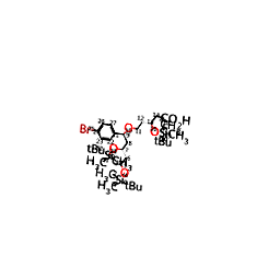 CC(C)(C)[Si](C)(C)OCC[C@@H](C[C@H](OCC[C@H](CC(=O)O)O[Si](C)(C)C(C)(C)C)c1ccc(Br)cc1)O[Si](C)(C)C(C)(C)C